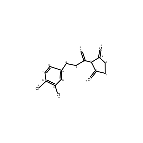 O=C1CCC(=O)C1C(=O)CCc1ccc(Cl)c(Cl)c1